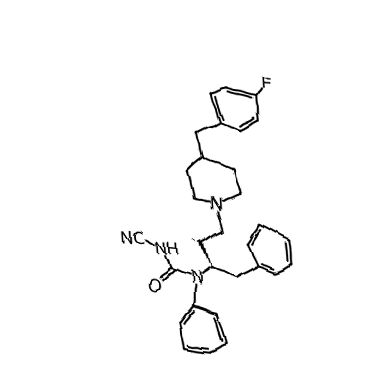 N#CNC(=O)N(c1ccccc1)[C@@H]([CH]CN1CCC(Cc2ccc(F)cc2)CC1)Cc1ccccc1